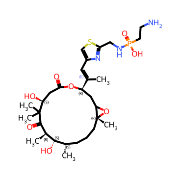 C/C(=C\c1csc(CNP(=O)(O)CCN)n1)[C@H]1CC2O[C@]2(C)CCC[C@H](C)[C@H](O)[C@@H](C)C(=O)C(C)(C)[C@@H](O)CC(=O)O1